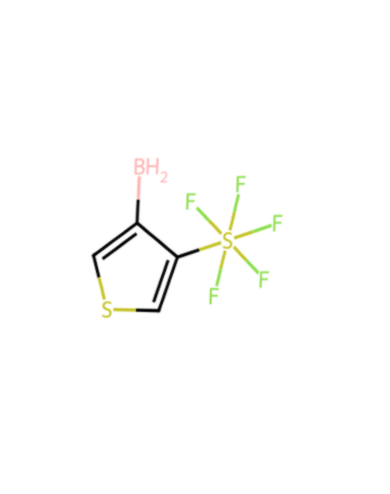 Bc1cscc1S(F)(F)(F)(F)F